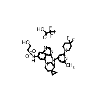 Cc1cc(Nc2ncnc3cc(NS(=O)(=O)CCO)cc(N4CCC5(CC4)CC5)c23)cc(N2CCC(F)(F)CC2)n1.O=C(O)C(F)(F)F